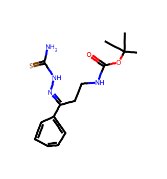 CC(C)(C)OC(=O)NCCC(=NNC(N)=S)c1ccccc1